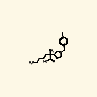 BCCCCC(N)(C(=O)O)C1CCN(Cc2ccc(C)cc2)C1